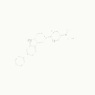 COC(=O)c1cnc(N2CCc3[nH]c4cc(-c5ccccc5)ccc4c3C2)nc1